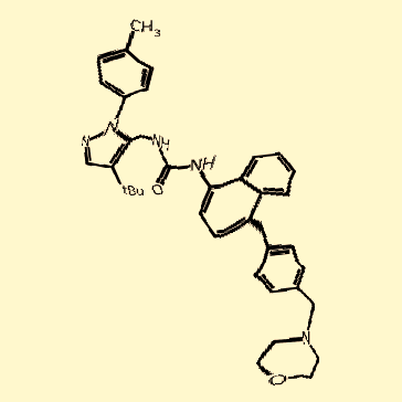 Cc1ccc(-n2ncc(C(C)(C)C)c2NC(=O)Nc2ccc(-c3ccc(CN4CCOCC4)cc3)c3ccccc23)cc1